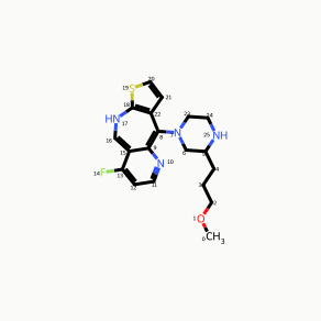 COCCCC1CN(C2=c3nccc(F)c3=CNc3sccc32)CCN1